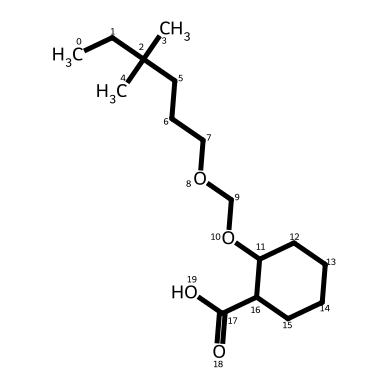 CCC(C)(C)CCCOCOC1CCCCC1C(=O)O